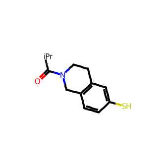 CC(C)C(=O)N1CCc2cc(S)ccc2C1